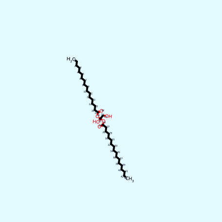 CCCCCCCCCCCCCCCCCC(=O)OC(O)(CO)OC(=O)CCCCCCCCCCCCCCCCC